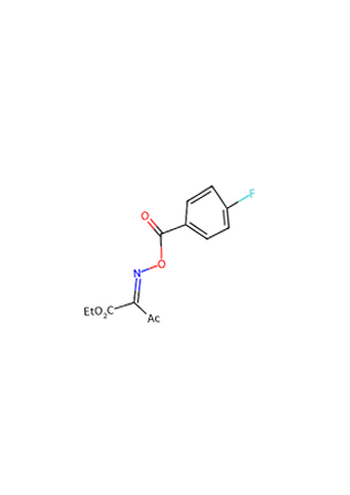 CCOC(=O)C(=NOC(=O)c1ccc(F)cc1)C(C)=O